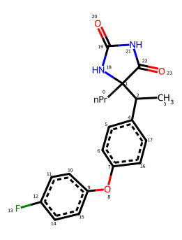 CCCC1(C(C)c2ccc(Oc3ccc(F)cc3)cc2)NC(=O)NC1=O